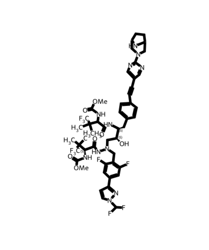 COC(=O)NC(C(=O)N[C@@H](Cc1ccc(C#Cc2cnc(N3CC4CCC(C3)N4)nc2)cc1)[C@@H](O)CN(Cc1c(F)cc(-c2ccn(C(F)F)n2)cc1F)NC(=O)[C@@H](NC(=O)OC)C(C)(C)C(F)(F)F)C(C)(C)C(F)(F)F